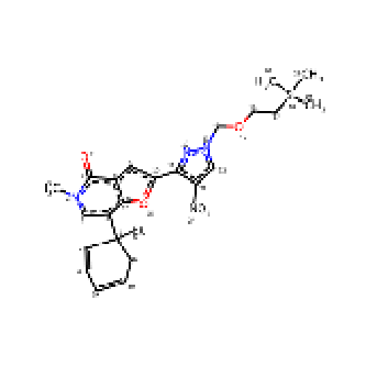 CCC1(c2cn(C)c(=O)c3cc(-c4nn(COCC[Si](C)(C)C)cc4[N+](=O)[O-])oc23)C=CC=CC1